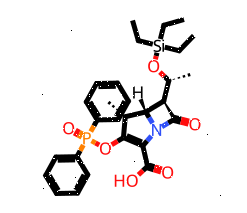 CC[Si](CC)(CC)O[C@H](C)[C@H]1C(=O)N2C(C(=O)O)=C(OP(=O)(c3ccccc3)c3ccccc3)[C@H](C)[C@H]12